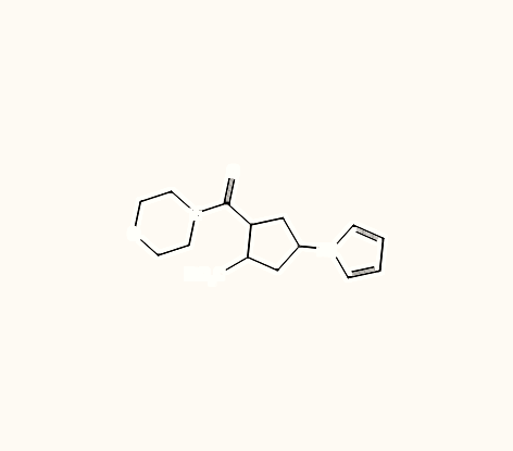 CCOC(=O)C1CC([SH]2C=CC=C2)CC1C(=O)N1CCOCC1